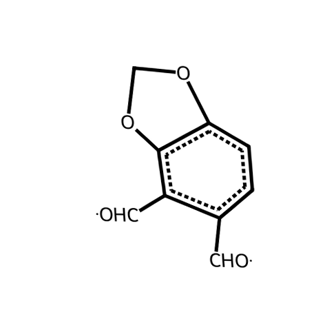 O=[C]c1ccc2c(c1[C]=O)OCO2